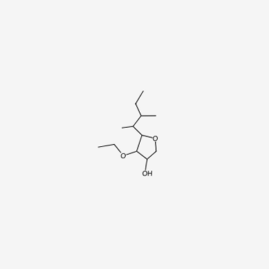 CCOC1C(O)COC1C(C)C(C)CC